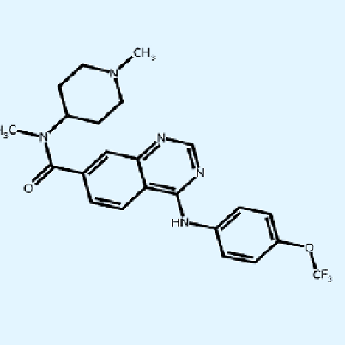 CN1CCC(N(C)C(=O)c2ccc3c(Nc4ccc(OC(F)(F)F)cc4)ncnc3c2)CC1